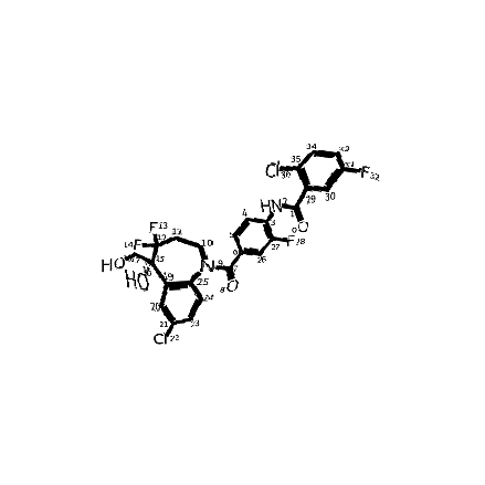 O=C(Nc1ccc(C(=O)N2CCC(F)(F)[C@](O)(CO)c3cc(Cl)ccc32)cc1F)c1cc(F)ccc1Cl